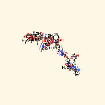 COC(=O)NC1=C2/C(=C\CSSC(C)(C)CCC(=O)NCCNC(=O)OCc3ccc(NC(=O)[C@H](C)NC(=O)[C@H](Cc4c[nH]c5ccccc45)NC(=O)CCCCCN4C(=O)C=CC4=O)cc3)[C@](O)(C#C/C=C\C#C[C@@H]2OC2OC(C)C(NOC3CC(O)C(SC(=O)c4c(C)c(I)c(OC5OC6OC6C(OC)C5O)c(OC)c4OC)C(C)O3)C(O)C2OC2CC(OC)C(NC(C)=O)CO2)CC1=O